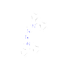 c1ccc(C(c2ccccc2)N2CCN(CN3CCN(C(c4ccccc4)c4ccccc4)CC3)CC2)cc1